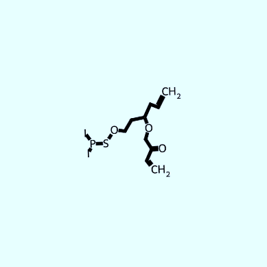 C=CCC(CCOSP(I)I)OCC(=O)C=C